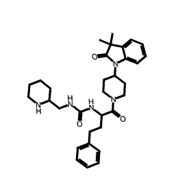 CC1(C)C(=O)N(C2CCN(C(=O)C(CCc3ccccc3)NC(=O)NCC3CCCCN3)CC2)c2ccccc21